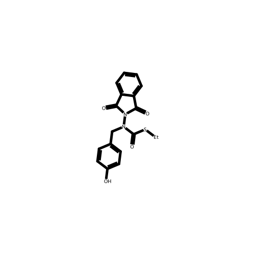 CCSC(=O)N(Cc1ccc(O)cc1)N1C(=O)c2ccccc2C1=O